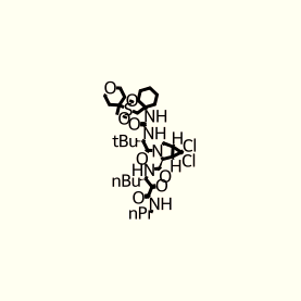 CCCC[C@H](NC(=O)[C@@H]1[C@@H]2[C@H](CN1C(=O)[C@@H](NC(=O)NC1(CS(=O)(=O)C3(C)CCOCC3)CCCCC1)C(C)(C)C)C2(Cl)Cl)C(=O)C(=O)NCCC